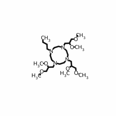 CCCCN1CCN(CC(COC)OC)CCN(CC(COC)OC)CCN(CC(COC)OC)CC1